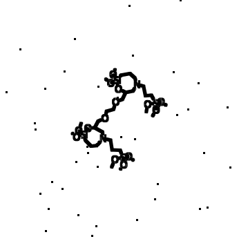 CO[Si](CCCN1CCC[Si](OC)(OC)OC(COCCOCC2CN(CCC[Si](OC)(OC)OC)CCC[Si](OC)(OC)O2)C1)(OC)OC